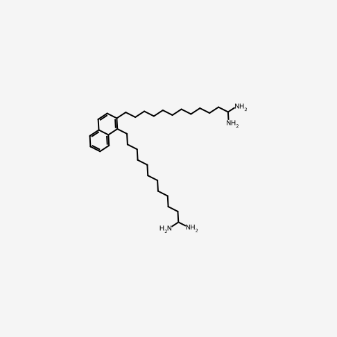 NC(N)CCCCCCCCCCCc1ccc2ccccc2c1CCCCCCCCCCCC(N)N